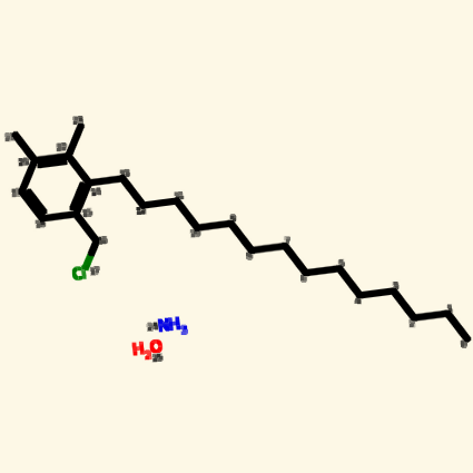 CCCCCCCCCCCCCCc1c(CCl)ccc(C)c1C.N.O